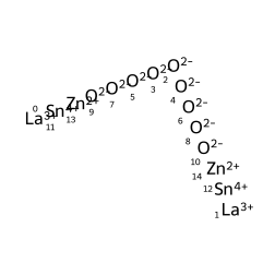 [La+3].[La+3].[O-2].[O-2].[O-2].[O-2].[O-2].[O-2].[O-2].[O-2].[O-2].[Sn+4].[Sn+4].[Zn+2].[Zn+2]